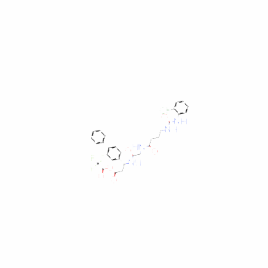 O=C(CCCNC(=O)Nc1ccccc1Cl)NCC(=O)NC(CC(=O)OC(=O)C(F)(F)F)c1ccc(-c2ccccc2)cc1